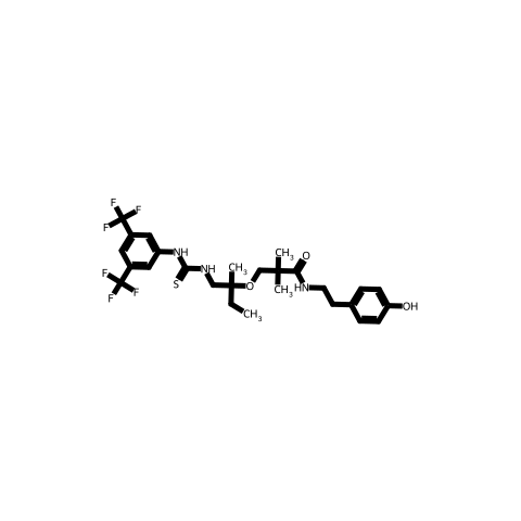 CCC(C)(CNC(=S)Nc1cc(C(F)(F)F)cc(C(F)(F)F)c1)OCC(C)(C)C(=O)NCCc1ccc(O)cc1